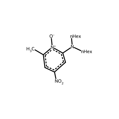 CCCCCCN(CCCCCC)c1cc([N+](=O)[O-])cc(C)[n+]1[O-]